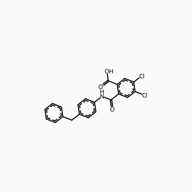 O=C(O)c1cc(Cl)c(Cl)cc1C(=O)Nc1ccc(Cc2ccccc2)cc1